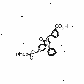 CCCCCCC(=O)OCN1CCC2(CC1)C(=O)N(Cc1cccc(C(=O)O)c1)CN2c1ccccc1